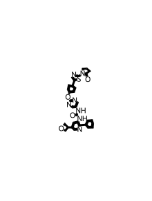 O=C(Nc1cnc(Oc2ccc(-c3cnc(N4CCCC4=O)s3)cc2)nc1)Nc1cc(C2COC2)cnc1-c1ccccc1